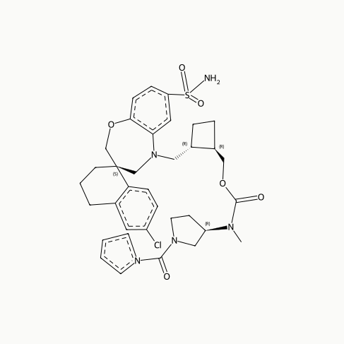 CN(C(=O)OC[C@@H]1CC[C@H]1CN1C[C@@]2(CCCc3cc(Cl)ccc32)COc2ccc(S(N)(=O)=O)cc21)[C@@H]1CCN(C(=O)n2cccc2)C1